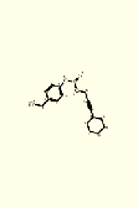 CC(C)Cc1ccc(OS(=O)OCC#CC2CCCCC2)cc1